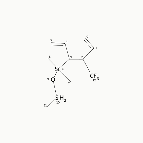 C=CC(C(C=C)[Si](C)(C)O[SiH2]C)C(F)(F)F